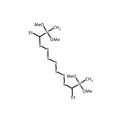 CCC(SSSSSSSC(CC)[Si](C)(OC)OC)[Si](C)(OC)OC